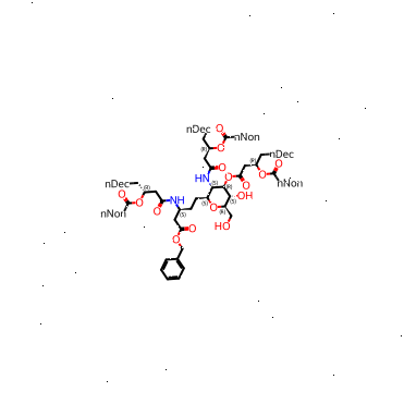 CCCCCCCCCCC[C@H](CC(=O)N[C@@H](CC[C@@H]1O[C@H](CO)[C@@H](O)[C@H](OC(=O)C[C@@H](CCCCCCCCCCC)OC(=O)CCCCCCCCC)[C@H]1NC(=O)C[C@@H](CCCCCCCCCCC)OC(=O)CCCCCCCCC)CC(=O)OCc1ccccc1)OC(=O)CCCCCCCCC